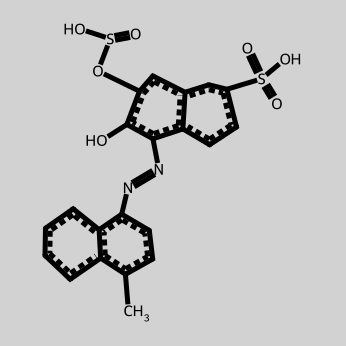 Cc1ccc(N=Nc2c(O)c(OS(=O)O)cc3cc(S(=O)(=O)O)ccc23)c2ccccc12